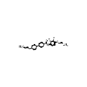 CCCCC1CCC(C2CCC(C(=O)Oc3ccc(OCCC)c(F)c3F)CC2)CC1